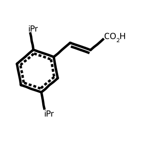 CC(C)c1ccc(C(C)C)c(C=CC(=O)O)c1